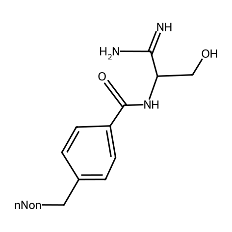 CCCCCCCCCCc1ccc(C(=O)NC(CO)C(=N)N)cc1